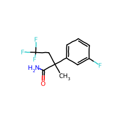 CC(CC(F)(F)F)(C(N)=O)c1cccc(F)c1